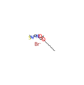 CCCCCCCCCCCCCCOc1ccc(CN(C(C)=O)c2cccc(C[n+]3csc(C)c3)c2)cc1C(C)(C)C.[Br-]